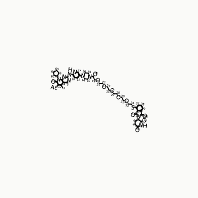 CC(=O)c1c(C)c2cnc(Nc3ccc(N4CCN(C(=O)COCCOCCOCCOCCOCCSc5cccc6c5C(=O)N(C5CCC(=O)NC5=O)C6=O)CC4)cn3)nc2n(C2CCCC2)c1=O